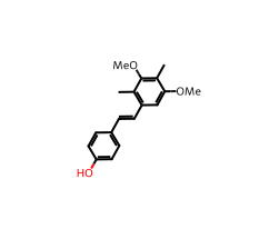 COc1cc(/C=C/c2ccc(O)cc2)c(C)c(OC)c1C